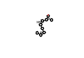 c1ccc(-c2cccc3c2oc2c(-c4ccc(-c5ccc6[nH]c7ccc(-c8ccc9c(c8)c8ccccc8n9-c8ccccc8)cc7c6c5)cc4)cccc23)cc1